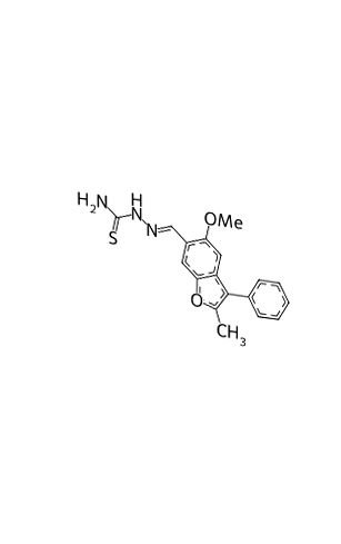 COc1cc2c(-c3ccccc3)c(C)oc2cc1/C=N/NC(N)=S